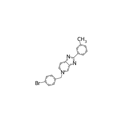 Cc1cccc(-c2nc3ccn(Cc4ccc(Br)cc4)cc-3n2)c1